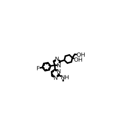 CNc1nccc(C2(c3ccc(F)cc3)C=NC(C3CCC(O)(CO)CC3)=N2)n1